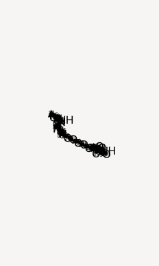 C[C@H]1CN(c2cc(-c3n[nH]c4ccc(OC5(C)CC5)cc34)ncn2)CCN1CCOCCOCCOCCOCCOc1ccc2c(c1)C(=O)N(C1CCC(=O)NC1=O)C2=O